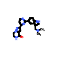 CN(C)Cc1c[nH]c2ccc(-c3nccc(-c4cc5n(n4)CCNC5=O)n3)cc12